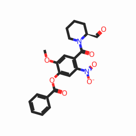 COc1cc(C(=O)N2CCCC[C@H]2C=O)c([N+](=O)[O-])cc1OC(=O)c1ccccc1